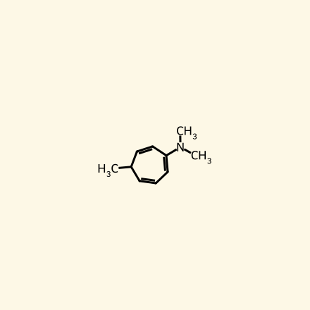 CC1C=CC=C(N(C)C)C=C1